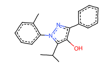 Cc1ccccc1-n1nc(-c2ccccc2)c(O)c1C(C)C